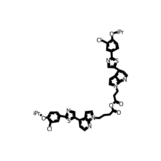 CC(C)Oc1ccc(-c2ncc(-c3ccnc4c3ccn4CCCC(=O)OC(=O)CCn3ccc4c(-c5cnc(-c6ccc(OC(C)C)c(Cl)c6)s5)ccnc43)s2)cc1Cl